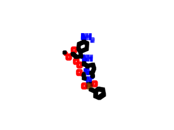 COC(=O)C(=O)C(NC(=O)C1CCC2CN(S(=O)(=O)Cc3ccccc3)CC(=O)N21)C1CCC(N)CC1